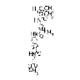 COC(=O)CCNC(=O)c1cc2cc(NC(=O)c3cc(NC(=O)OC(C)(C)C)cn3C)ccc2s1